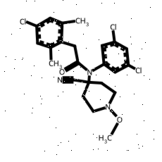 CON1CCC(C#N)(N(C(=O)Cc2c(C)cc(Cl)cc2C)c2cc(Cl)cc(Cl)c2)CC1